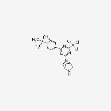 CC(C)(C)c1ccc(-c2nc(N3CC4CC3CN4)nc(C(Cl)(Cl)Cl)n2)cc1